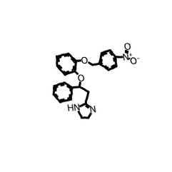 O=[N+]([O-])c1ccc(COc2ccccc2OC(CC2=NCCN2)c2ccccc2)cc1